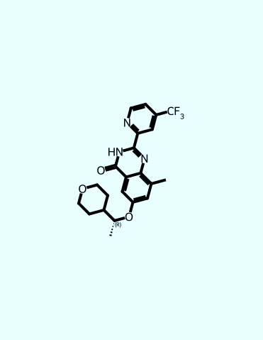 Cc1cc(O[C@H](C)C2CCOCC2)cc2c(=O)[nH]c(-c3cc(C(F)(F)F)ccn3)nc12